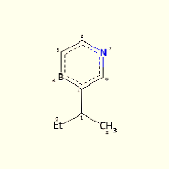 CCC(C)c1bccnc1